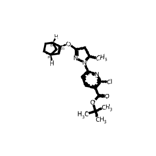 CC1CC(O[C@H]2C[C@@H]3CC[C@H]2C3)=NN1c1ccc(C(=O)OC(C)(C)C)c(Cl)n1